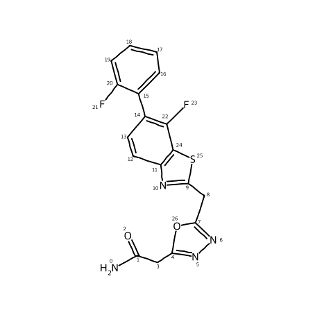 NC(=O)Cc1nnc(Cc2nc3ccc(-c4ccccc4F)c(F)c3s2)o1